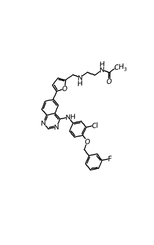 CC(=O)NCCNCc1ccc(-c2ccc3ncnc(Nc4ccc(OCc5cccc(F)c5)c(Cl)c4)c3c2)o1